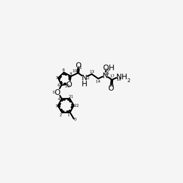 Cc1ccc(Oc2ccc(C(=O)NCCN(O)C(N)=O)o2)cc1